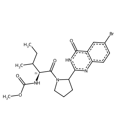 CCC(C)[C@H](NC(=O)OC)C(=O)N1CCCC1c1nc2ccc(Br)cc2c(=O)[nH]1